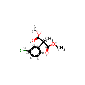 COC(=O)C(C)(C(=O)OC)c1cccc(Cl)c1